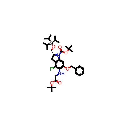 CC(C)[Si](OC[C@H]1Cc2c(cc(OCc3ccccc3)c(NCC(=O)OC(C)(C)C)c2F)N1C(=O)OC(C)(C)C)(C(C)C)C(C)C